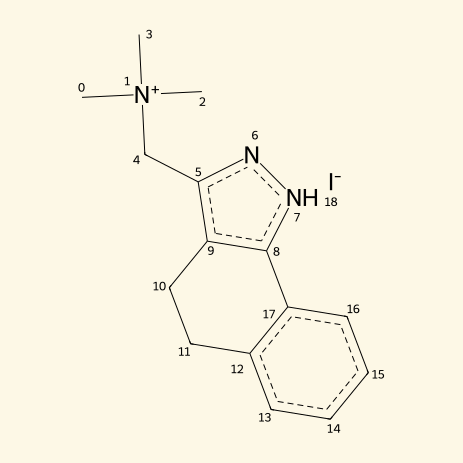 C[N+](C)(C)Cc1n[nH]c2c1CCc1ccccc1-2.[I-]